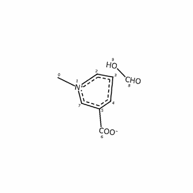 C[n+]1cccc(C(=O)[O-])c1.O=CO